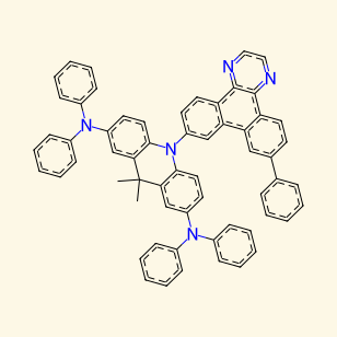 CC1(C)c2cc(N(c3ccccc3)c3ccccc3)ccc2N(c2ccc3c(c2)c2cc(-c4ccccc4)ccc2c2nccnc32)c2ccc(N(c3ccccc3)c3ccccc3)cc21